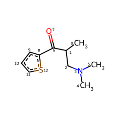 CC(CN(C)C)C(=O)c1cccs1